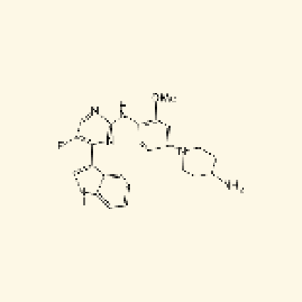 COc1cc(N2CCC(N)CC2)ccc1Nc1ncc(F)c(-c2c[nH]c3ccccc23)n1